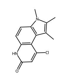 Cc1c(C)n(C)c2ccc3[nH]c(=O)cc(Cl)c3c12